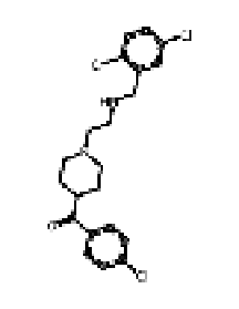 O=C(c1ccc(Cl)cc1)C1CCN(CCNCc2cc(Cl)ccc2Cl)CC1